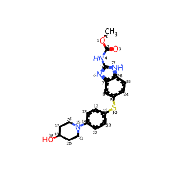 COC(=O)Nc1nc2cc(Sc3ccc(N4CCC(O)CC4)cc3)ccc2[nH]1